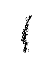 CCC1(COCOc2ccc(C(=O)Oc3ccc4c(c3)C(C)c3cc(OC(=O)c5ccc(OCOCC6(CC)COC6)c(F)c5)ccc3-4)cc2F)COC1